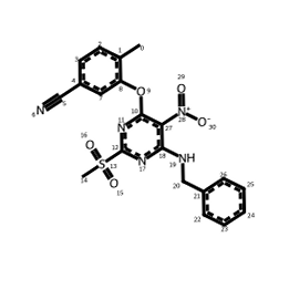 Cc1ccc(C#N)cc1Oc1nc(S(C)(=O)=O)nc(NCc2ccccc2)c1[N+](=O)[O-]